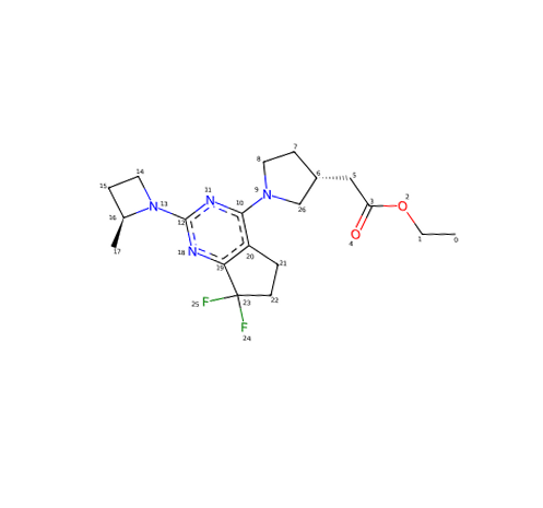 CCOC(=O)C[C@H]1CCN(c2nc(N3CC[C@@H]3C)nc3c2CCC3(F)F)C1